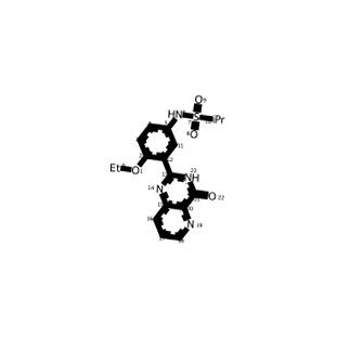 CCOc1ccc(NS(=O)(=O)C(C)C)cc1-c1nc2cccnc2c(=O)[nH]1